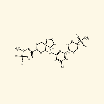 CC(OC(=O)N1CCC2(CCCN2Cc2cc(Cl)cc(N3CCN(S(C)(=O)=O)CC3)c2)CC1)C(F)(F)F